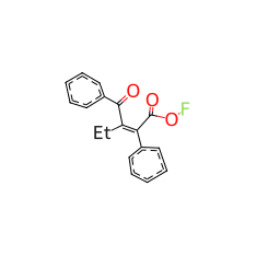 CCC(C(=O)c1ccccc1)=C(C(=O)OF)c1ccccc1